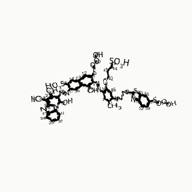 Cc1cc(N=Nc2c(SOOO)cc3cc(S(=O)(=O)O)c(N=Nc4c(C)c(C#N)c5nc6ccccc6n5c4O)cc3c2O)c(OCCCS(=O)(=O)O)cc1N=Nc1nc2ccc(SOOO)cc2s1